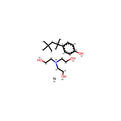 CC(C)(C)CC(C)(C)c1ccc(O)cc1.OCCN(CCO)CCO.[Ni]